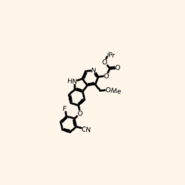 COCc1c(OC(=O)OC(C)C)ncc2[nH]c3ccc(Oc4c(F)cccc4C#N)cc3c12